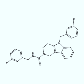 O=C(NCc1cccc(F)c1)N1CCc2c(c3ccccc3n2Cc2cccc(F)c2)C1